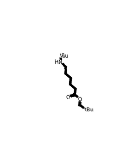 CC(C)(C)COC(=O)CCCCCNC(C)(C)C